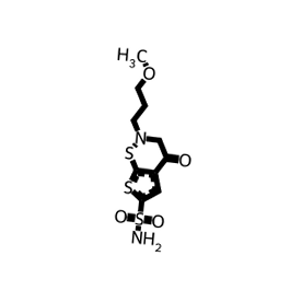 COCCCN1CC(=O)c2cc(S(N)(=O)=O)sc2S1